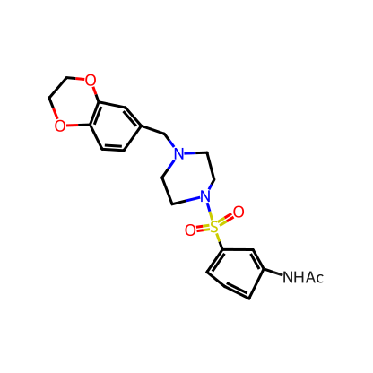 CC(=O)Nc1cccc(S(=O)(=O)N2CCN(Cc3ccc4c(c3)OCCO4)CC2)c1